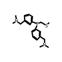 CSCP(c1cccc(CN(C)C)c1)c1cccc(CN(C)C)c1